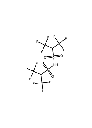 O=S(=O)(NS(=O)(=O)C(C(F)(F)F)C(F)(F)F)C(C(F)(F)F)C(F)(F)F